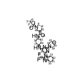 CC(C)(C)OC(=O)N1CCC[C@@H](C(=O)N[C@H]2CC[C@H](Nc3cc(-n4c(C(F)F)nc5ccccc54)nc(N4CCOCC4)n3)CC2)C1